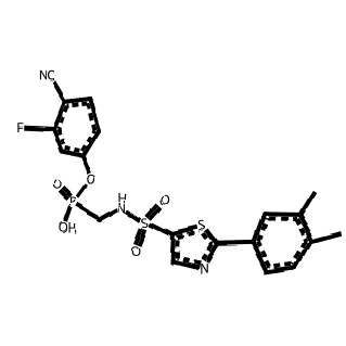 Cc1ccc(-c2ncc(S(=O)(=O)NCP(=O)(O)Oc3ccc(C#N)c(F)c3)s2)cc1C